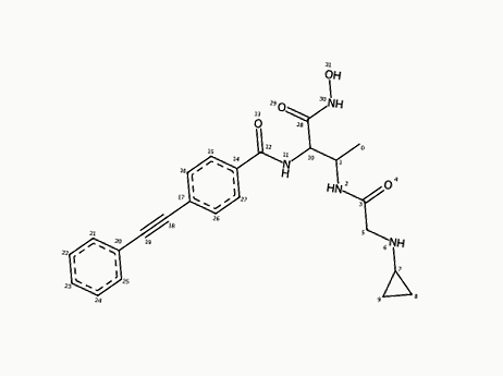 CC(NC(=O)CNC1CC1)C(NC(=O)c1ccc(C#Cc2ccccc2)cc1)C(=O)NO